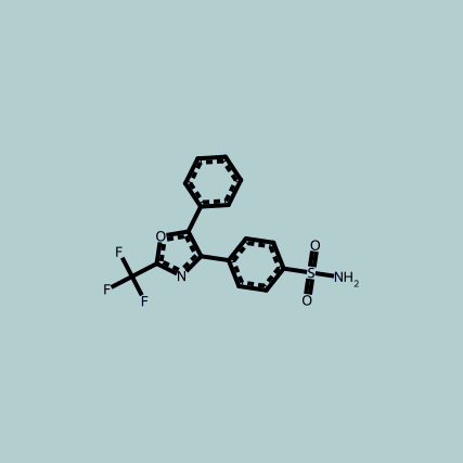 NS(=O)(=O)c1ccc(-c2nc(C(F)(F)F)oc2-c2ccccc2)cc1